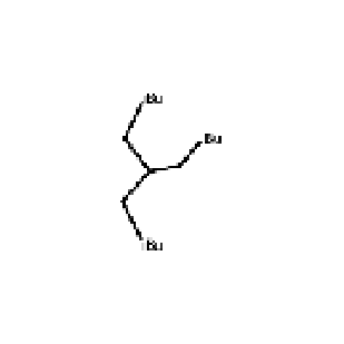 CCC(C)C[C](CC(C)CC)CC(C)CC